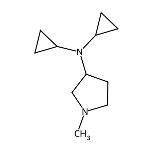 CN1CCC(N(C2CC2)C2CC2)C1